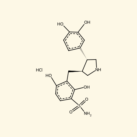 Cl.NS(=O)(=O)c1ccc(O)c(C[C@@H]2CNC[C@H]2c2ccc(O)c(O)c2)c1O